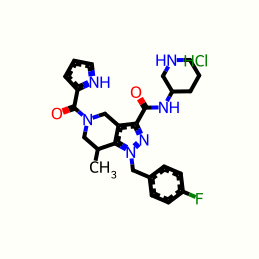 CC1CN(C(=O)c2ccc[nH]2)Cc2c(C(=O)NC3CCCNC3)nn(Cc3ccc(F)cc3)c21.Cl